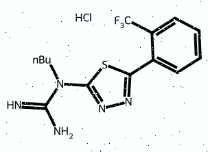 CCCCN(C(=N)N)c1nnc(-c2ccccc2C(F)(F)F)s1.Cl